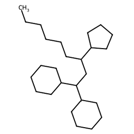 CCCCCCC(CC([C]1CCCCC1)C1CCCCC1)C1CCCC1